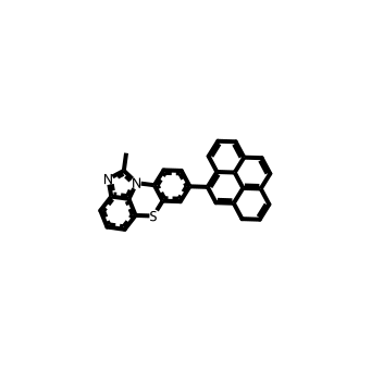 Cc1nc2cccc3c2n1-c1ccc(C2=C4C=CC=C5C=CC6=C(C(=C2)CC=C6)C54)cc1S3